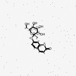 C[C@@]1(Oc2ccc3ccc(=O)oc3c2)O[C@H](CO)[C@@H](O)[C@H](O)[C@H]1O